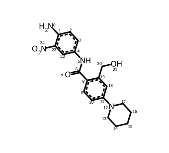 Nc1ccc(NC(=O)c2ccc(N3CCCCC3)cc2CO)cc1[N+](=O)[O-]